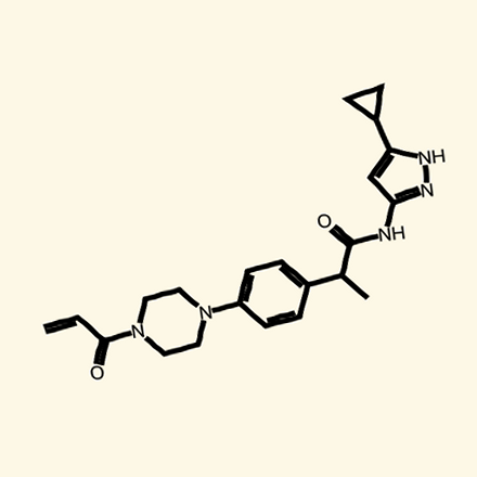 C=CC(=O)N1CCN(c2ccc(C(C)C(=O)Nc3cc(C4CC4)[nH]n3)cc2)CC1